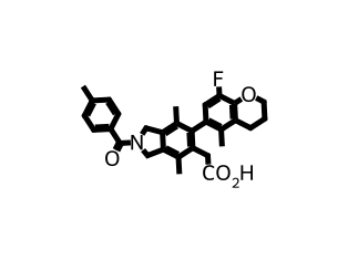 Cc1ccc(C(=O)N2Cc3c(C)c(CC(=O)O)c(-c4cc(F)c5c(c4C)CCCO5)c(C)c3C2)cc1